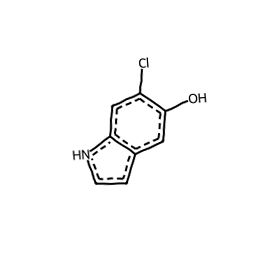 Oc1cc2cc[nH]c2cc1Cl